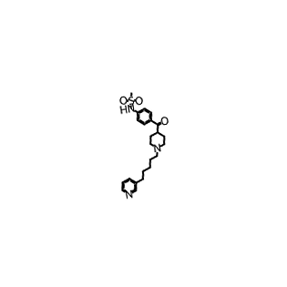 CS(=O)(=O)Nc1ccc(C(=O)C2CCN(CCCCCc3cccnc3)CC2)cc1